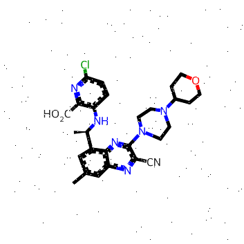 Cc1cc([C@@H](C)Nc2ccc(Cl)nc2C(=O)O)c2nc(N3CCN(C4CCOCC4)CC3)c(C#N)nc2c1